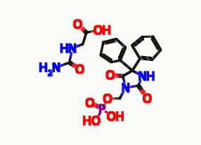 NC(=O)NCC(=O)O.O=C1NC(c2ccccc2)(c2ccccc2)C(=O)N1COP(=O)(O)O